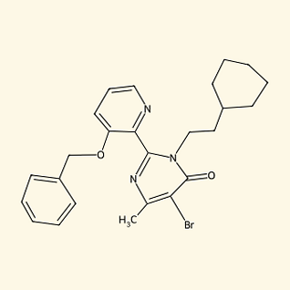 Cc1nc(-c2ncccc2OCc2ccccc2)n(CCC2CCCCC2)c(=O)c1Br